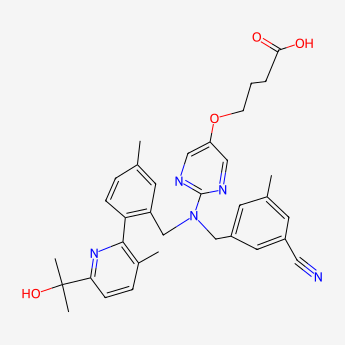 Cc1cc(C#N)cc(CN(Cc2cc(C)ccc2-c2nc(C(C)(C)O)ccc2C)c2ncc(OCCCC(=O)O)cn2)c1